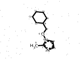 Cc1nccn1OCC1CCCCC1